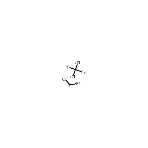 FC(F)(Cl)Cl.F[C]Cl